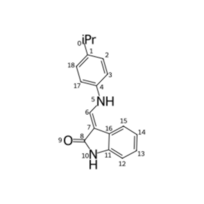 CC(C)c1ccc(N/C=C2/C(=O)Nc3ccccc32)cc1